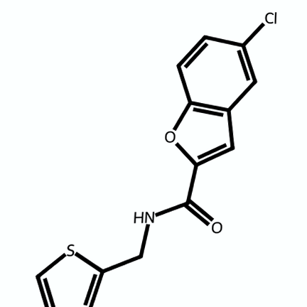 O=C(NCc1cccs1)c1cc2cc(Cl)ccc2o1